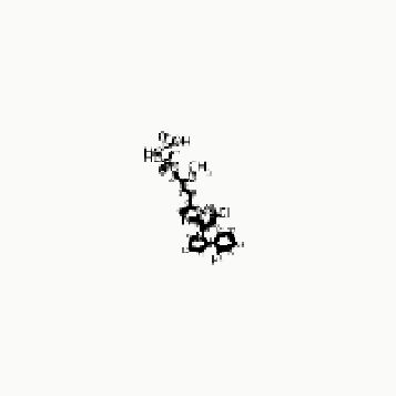 CO[C@@H](CCc1cnc2c(N3CCC[C@H]3c3ccccc3F)cc(Cl)nn12)COP(=O)(O)CP(=O)(O)O